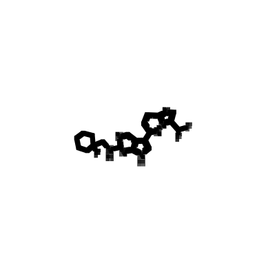 FC(F)c1cnc2ccc(-c3c[nH]c4nc(NCC5(F)CCCCC5)ncc34)nn12